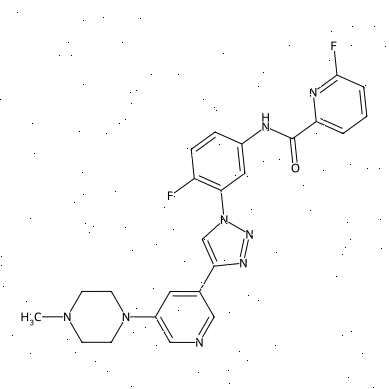 CN1CCN(c2cncc(-c3cn(-c4cc(NC(=O)c5cccc(F)n5)ccc4F)nn3)c2)CC1